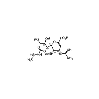 CBNC(=O)O[C@@H]([C@@H]1OC(C(=O)O)=C[C@H](NC(=N)N)[C@H]1NC(C)=O)[C@H](O)CO